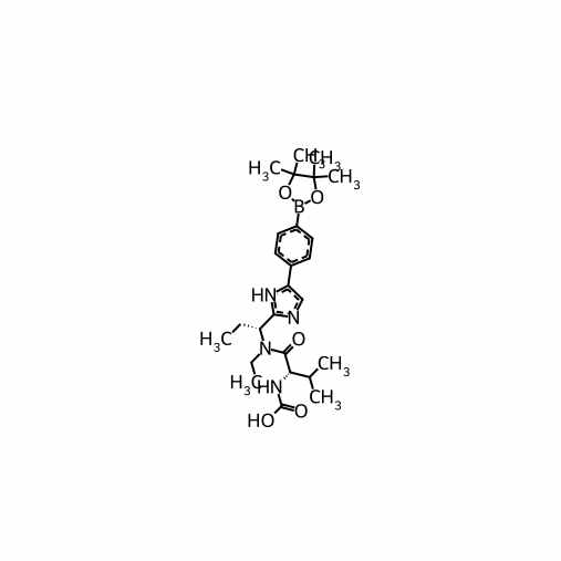 CC[C@H](c1ncc(-c2ccc(B3OC(C)(C)C(C)(C)O3)cc2)[nH]1)N(CC)C(=O)[C@@H](NC(=O)O)C(C)C